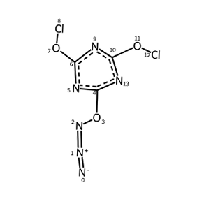 [N-]=[N+]=NOc1nc(OCl)nc(OCl)n1